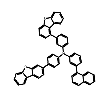 c1cc(-c2cccc3ccccc23)cc(N(c2ccc(-c3ccc4c(c3)oc3ccccc34)cc2)c2cccc(-c3cccc4sc5ccccc5c34)c2)c1